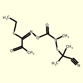 CCSC(=NOC(=O)N(C)SC(C)(C)C#N)C(C)=O